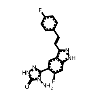 Nn1c(-c2cc3c(/C=C/c4ccc(F)cc4)n[nH]c3cc2F)n[nH]c1=O